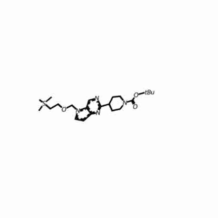 CC(C)(C)OC(=O)N1CCC(c2ncc3c(ccn3COCCS(C)(C)C)n2)CC1